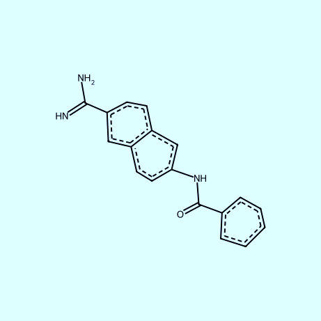 N=C(N)c1ccc2cc(NC(=O)c3ccccc3)ccc2c1